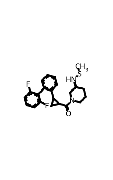 CSNC1CCCN(C(=O)C2CC2c2ccccc2-c2c(F)cccc2F)C1